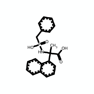 CC(NP(=O)(O)Cc1ccccc1)(C(=O)O)c1cccc2ccccc12